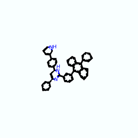 C1=CNCC(c2ccc(C3C=C(c4ccccc4)N=C(c4cccc(-c5c6ccccc6c(-c6ccccc6)c6ccccc56)c4)N3)cc2)=C1